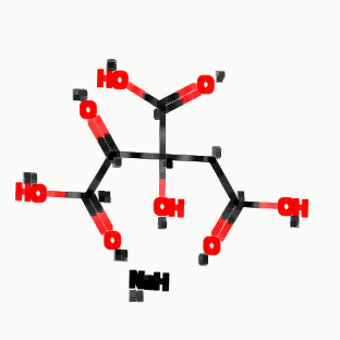 O=C(O)CC(O)(C(=O)O)C(=O)C(=O)O.[NaH]